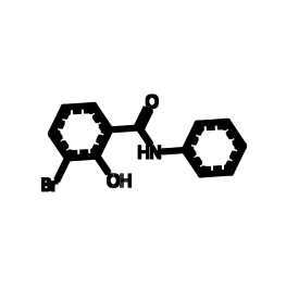 O=C(Nc1ccccc1)c1cccc(Br)c1O